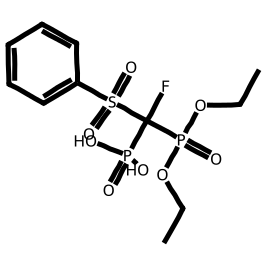 CCOP(=O)(OCC)C(F)(P(=O)(O)O)S(=O)(=O)c1ccccc1